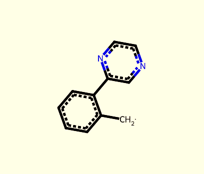 [CH2]c1ccccc1-c1cnccn1